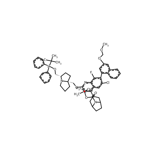 COCOc1cc(-c2c(Cl)cc3c(N4CC5CCC(C4)N5C(=O)OC(C)(C)C)nc(OC[C@]45CCCN4[C@H](CO[Si](c4ccccc4)(c4ccccc4)C(C)(C)C)CC5)nc3c2F)c2ccccc2c1